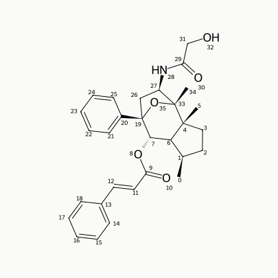 C[C@@H]1CC[C@]2(C)C1[C@H](OC(=O)/C=C/c1ccccc1)[C@]1(c3ccccc3)C[C@@H](NC(=O)CO)[C@@]2(C)O1